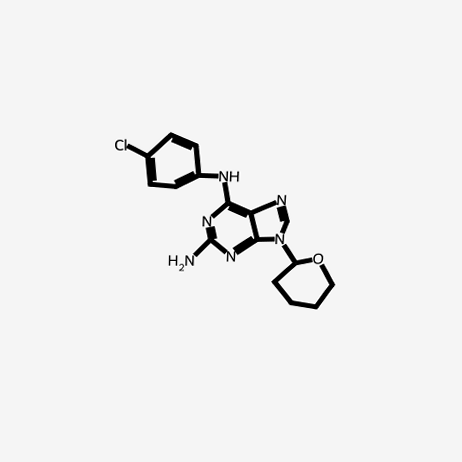 Nc1nc(Nc2ccc(Cl)cc2)c2ncn(C3CCCCO3)c2n1